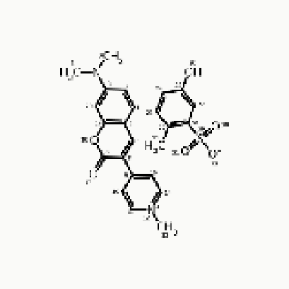 CN(C)c1ccc2cc(-c3cc[n+](C)cc3)c(=O)oc2c1.Cc1ccc(O)cc1S(=O)(=O)[O-]